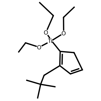 CC[O][Ti]([O]CC)([O]CC)[C]1=C(CC(C)(C)C)C=CC1